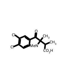 CNC(C)(C(=O)c1ccc(Cl)c(Cl)c1)C(C)C(=O)O